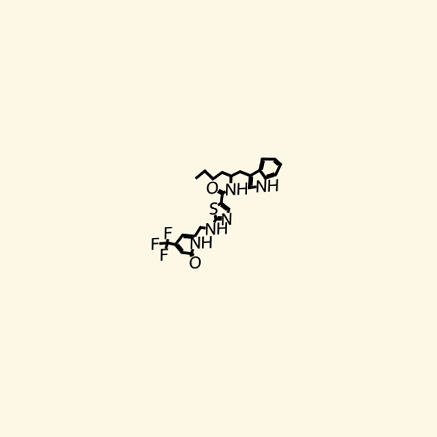 CCCCC(Cc1c[nH]c2ccccc12)NC(=O)c1cnc(NCc2cc(C(F)(F)F)cc(=O)[nH]2)s1